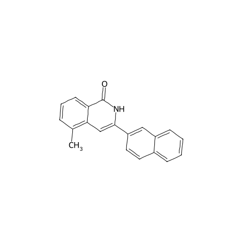 Cc1cccc2c(=O)[nH]c(-c3ccc4ccccc4c3)cc12